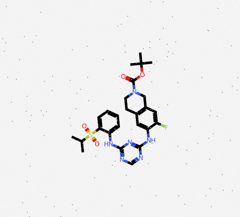 CC(C)S(=O)(=O)c1ccccc1Nc1ncnc(Nc2cc3c(cc2F)CN(C(=O)OC(C)(C)C)CC3)n1